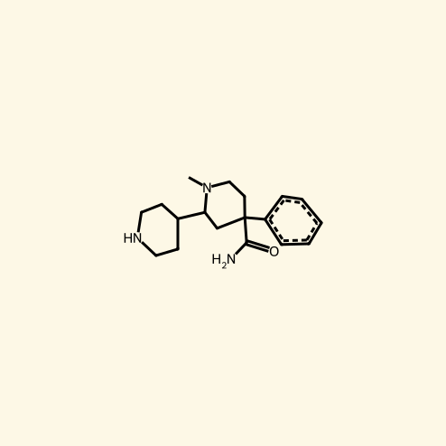 CN1CCC(C(N)=O)(c2ccccc2)CC1C1CCNCC1